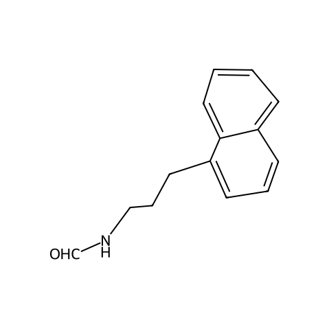 O=CNCCCc1cccc2ccccc12